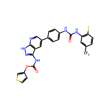 O=C(Nc1ccc(-c2cnc3[nH]nc(NC(=O)Oc4ccsc4)c3c2)cc1)Nc1cc(C(F)(F)F)ccc1F